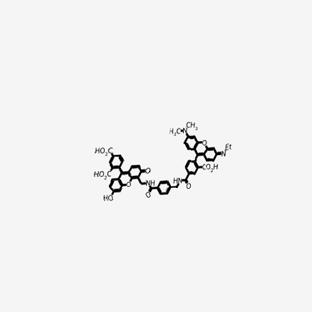 CC/N=c1/ccc2c(-c3ccc(C(=O)NCc4ccc(C(=O)NCc5c6oc7cc(O)ccc7c(-c7ccc(C(=O)O)cc7C(=O)O)c-6ccc5=O)cc4)cc3C(=O)O)c3ccc(N(C)C)cc3oc-2c1